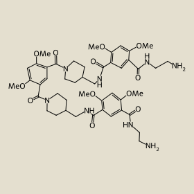 COc1cc(OC)c(C(=O)NCC2CCN(C(=O)c3cc(C(=O)N4CCC(CNC(=O)c5cc(C(=O)NCCN)c(OC)cc5OC)CC4)c(OC)cc3OC)CC2)cc1C(=O)NCCN